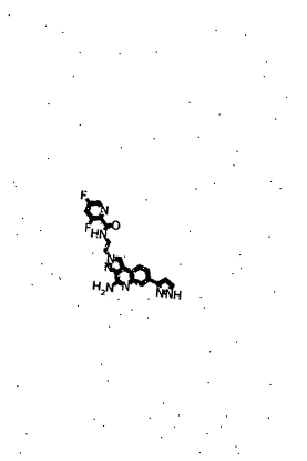 Nc1nc2cc(-c3cc[nH]n3)ccc2c2cn(CCNC(=O)c3ncc(F)cc3F)nc12